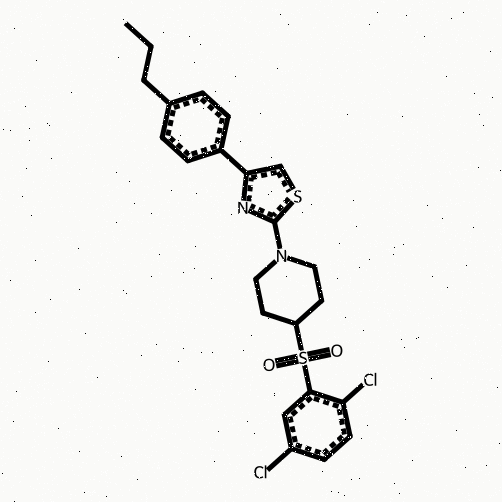 CCCc1ccc(-c2csc(N3CCC(S(=O)(=O)c4cc(Cl)ccc4Cl)CC3)n2)cc1